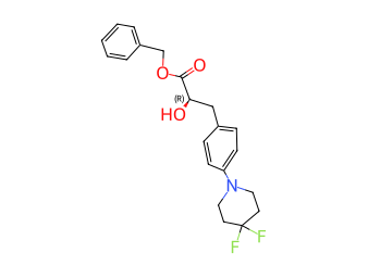 O=C(OCc1ccccc1)[C@H](O)Cc1ccc(N2CCC(F)(F)CC2)cc1